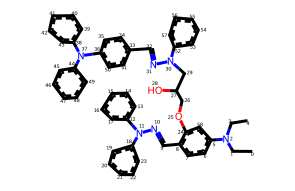 CCN(CC)c1ccc(/C=N/N(c2ccccc2)c2ccccc2)c(OCC(O)CN(/N=C/c2ccc(N(c3ccccc3)c3ccccc3)cc2)c2ccccc2)c1